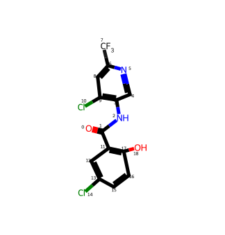 O=C(Nc1cnc(C(F)(F)F)cc1Cl)c1cc(Cl)ccc1O